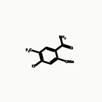 COc1cc(Cl)c(C(F)(F)F)cc1C(N)=O